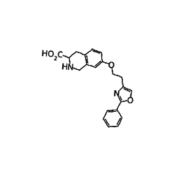 O=C(O)C1Cc2ccc(OCCc3coc(-c4ccccc4)n3)cc2CN1